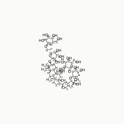 C[C@H](CC[C@@H](O[C@@H]1OC[C@@H](O)[C@H](O)[C@H]1O[C@H]1OC(CO)[C@H](O)[C@@H](O)[C@@H]1O)C(C)(C)O)C1CC[C@@]2(C)C3CC=C4C(CC[C@H](O[C@@H]5O[C@H](CCO[C@@H]6O[C@H](CO)[C@@H](O)[C@H](O)[C@H]6O)[C@@H](O)[C@H](O)[C@H]5O)C4(C)C)[C@]3(C)[C@H](O)C[C@]12C